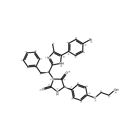 Cc1nc([C@H](Cc2ccccc2)N2C(=O)N[C@H](c3ccc(OCCO)cc3)C2=O)[nH]c1-c1ccc(Br)cc1